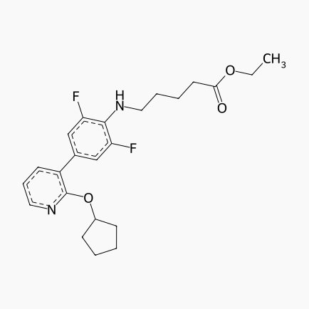 CCOC(=O)CCCCNc1c(F)cc(-c2cccnc2OC2CCCC2)cc1F